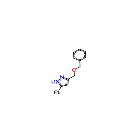 [CH2]Cc1cc(COCc2ccccc2)n[nH]1